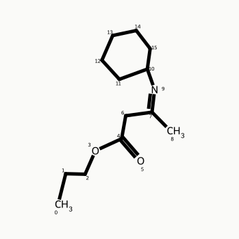 CCCOC(=O)CC(C)=NC1CCCCC1